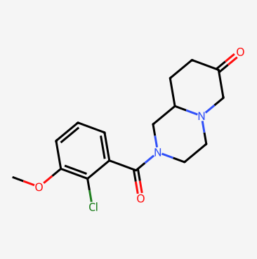 COc1cccc(C(=O)N2CCN3CC(=O)CCC3C2)c1Cl